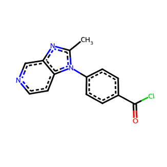 Cc1nc2cnccc2n1-c1ccc(C(=O)Cl)cc1